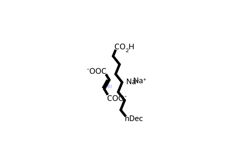 CCCCCCCCCCCCCCCCCC(=O)O.O=C([O-])/C=C/C(=O)[O-].[Na+].[Na+]